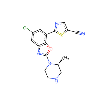 C[C@H]1CNCCN1c1nc2cc(Cl)cc(-c3ncc(C#N)s3)c2o1